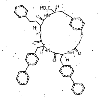 O=C1COc2ccc(cc2)C[C@@H](C(=O)O)NC(=O)[C@H](CCc2ccccc2)NC(=O)[C@@H](Cc2ccc(-c3ccccc3)cc2)NC(=O)[C@H](Cc2ccc(-c3ccccc3)cc2)N1